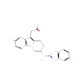 CN(c1nc2cc(F)ccc2o1)C1CCc2c(CC(=O)O)c3cc(F)ccc3n2C1